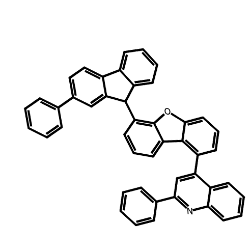 c1ccc(-c2ccc3c(c2)C(c2cccc4c2oc2cccc(-c5cc(-c6ccccc6)nc6ccccc56)c24)c2ccccc2-3)cc1